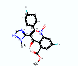 COC(=O)c1cc(F)cc([N+](=O)[O-])c1C(=O)/C(=C/c1ccc(F)cc1)C1=NCNN1C